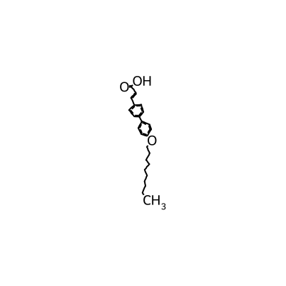 CCCCCCCCCCOc1ccc(-c2ccc(/C=C/C(=O)O)cc2)cc1